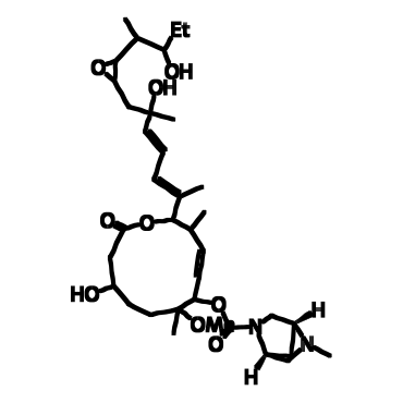 CCC(O)C(C)C1OC1CC(C)(O)/C=C/C=C(\C)C1OC(=O)CC(O)CCC(C)(OC)C(OC(=O)N2C[C@H]3C[C@@H]2CN3C)/C=C/C1C